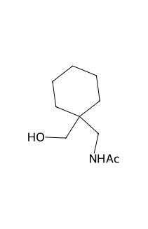 CC(=O)NCC1(CO)CCCCC1